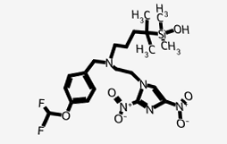 CC(C)(CCCN(CCn1cc([N+](=O)[O-])nc1[N+](=O)[O-])Cc1ccc(OC(F)F)cc1)[Si](C)(C)O